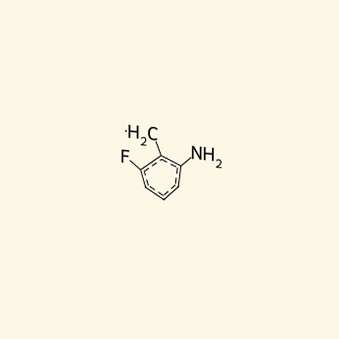 [CH2]c1c(N)cccc1F